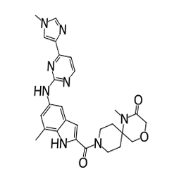 Cc1cc(Nc2nccc(-c3cn(C)cn3)n2)cc2cc(C(=O)N3CCC4(CC3)COCC(=O)N4C)[nH]c12